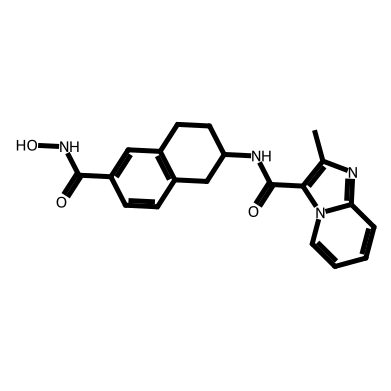 Cc1nc2ccccn2c1C(=O)NC1CCc2cc(C(=O)NO)ccc2C1